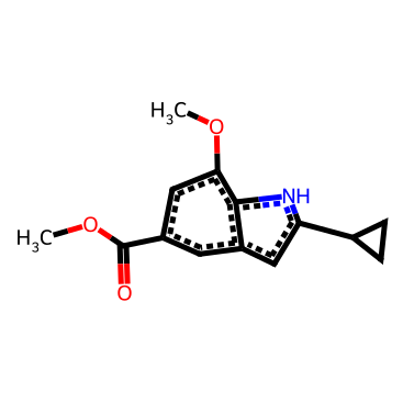 COC(=O)c1cc(OC)c2[nH]c(C3CC3)cc2c1